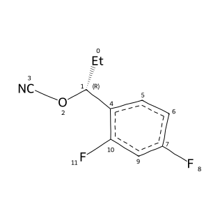 CC[C@@H](OC#N)c1ccc(F)cc1F